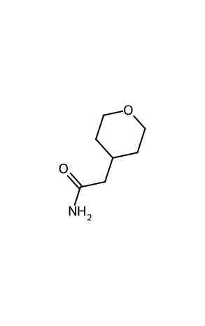 NC(=O)CC1CCOCC1